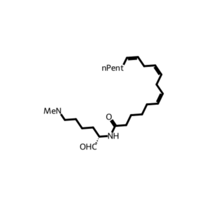 CCCCC/C=C\C/C=C\C/C=C\CCCCC(=O)N[C@H](C=O)CCCCNC